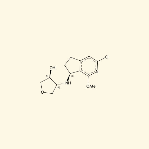 COc1nc(Cl)cc2c1[C@@H](N[C@@H]1COC[C@H]1O)CC2